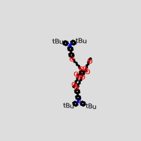 C=COCCCCOC(=O)c1cc(OCCCCCCOc2ccc(-c3ccc(N(c4ccc(C(C)(C)C)cc4)c4ccc(C(C)(C)C)cc4)cc3)cc2)c(C(=O)OCCCCOC=C)cc1OCCCCCCOc1ccc(-c2ccc(N(c3ccc(C(C)(C)C)cc3)c3ccc(C(C)(C)C)cc3)cc2)cc1